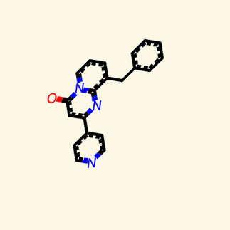 O=c1cc(-c2ccncc2)nc2c(Cc3ccccc3)cccn12